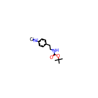 [C-]#[N+]c1ccc(CCNC(=O)OC(C)(C)C)cc1